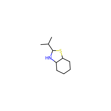 CC(C)C1NC2CCCCC2S1